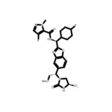 COC[C@H](c1ccc2oc([C@@H](NC(=O)c3c(F)cnn3C)C3CCC(F)CC3)nc2c1)N1C[C@@H](C(F)(F)F)NC1=O